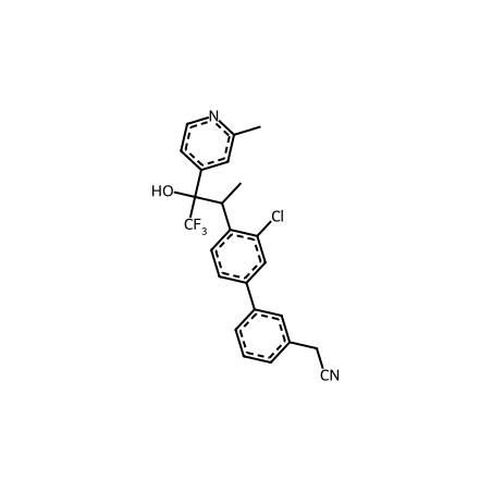 Cc1cc(C(O)(C(C)c2ccc(-c3cccc(CC#N)c3)cc2Cl)C(F)(F)F)ccn1